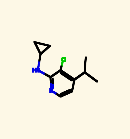 CC(C)c1ccnc(NC2CC2)c1Cl